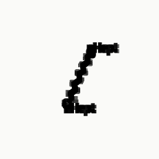 CCCCCCCOCCCCCCCCCCOCCCCCCC